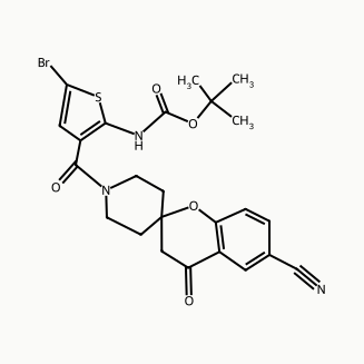 CC(C)(C)OC(=O)Nc1sc(Br)cc1C(=O)N1CCC2(CC1)CC(=O)c1cc(C#N)ccc1O2